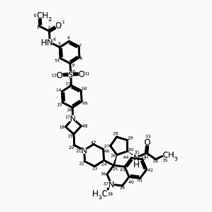 C=CC(=O)Nc1cccc(S(=O)(=O)c2ccc(N3CC(CN4CCC(C5([C@H]6CCC[C@@H]6NC(=O)CC)CN(C)Cc6ccccc65)CC4)C3)cc2)c1